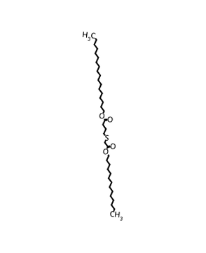 CCCCCCCCCCCCCCCCCCOC(=O)CCCSCC(=O)OCCCCCCCCCCCCCC